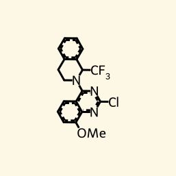 COc1cccc2c(N3CCc4ccccc4C3C(F)(F)F)nc(Cl)nc12